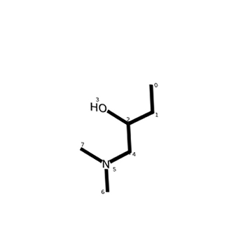 CCC(O)[CH]N(C)C